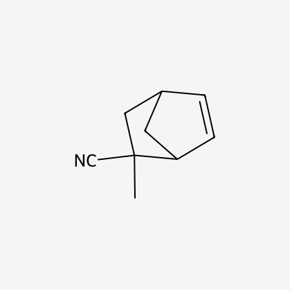 CC1(C#N)CC2C=CC1C2